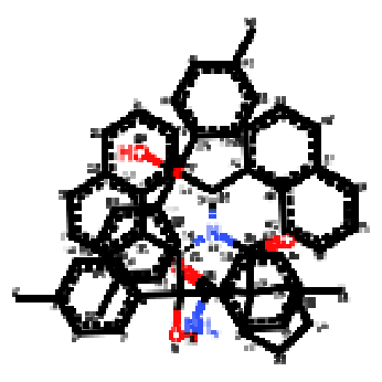 Cc1ccc(C(O)(c2ccc(C)cc2)[C@H](c2cccc3ccccc23)N(C(=O)C2(C(N)=O)CCCC2)[C@@H](c2cccc3ccccc23)C(O)(c2ccc(C)cc2)c2ccc(C)cc2)cc1